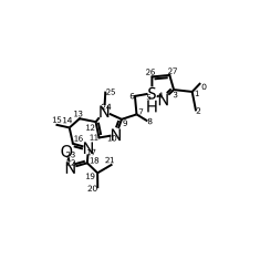 CC(C)C1=N[SH](CC(C)c2ncc(CC(C)c3nc(C(C)C)no3)n2C)C=C1